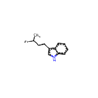 CC(C)C(C)CCc1c[nH]c2ccccc12